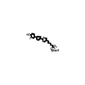 CCCCCOC(C)CCCC=Cc1cnc(-c2ccc(-c3ccc(O)c(F)c3)cc2)nc1